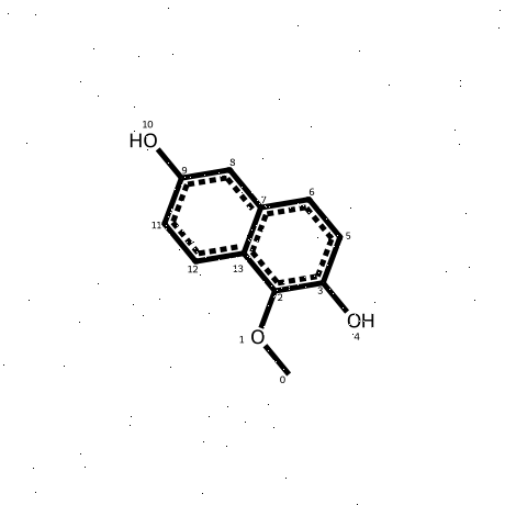 COc1c(O)ccc2cc(O)ccc12